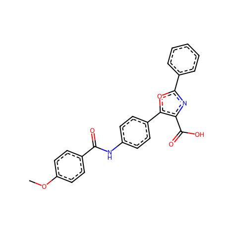 COc1ccc(C(=O)Nc2ccc(-c3oc(-c4ccccc4)nc3C(=O)O)cc2)cc1